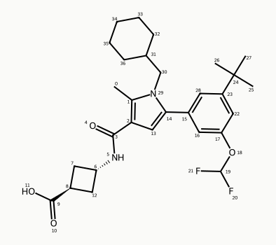 Cc1c(C(=O)N[C@H]2C[C@H](C(=O)O)C2)cc(-c2cc(OC(F)F)cc(C(C)(C)C)c2)n1CC1CCCCC1